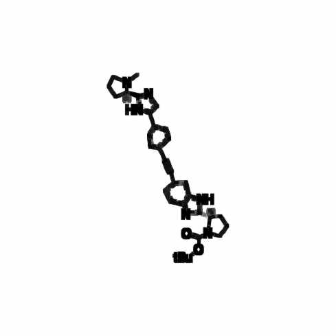 CN1CCC[C@@H]1c1ncc(-c2ccc(C#Cc3ccc4nc([C@@H]5CCCN5C(=O)OC(C)(C)C)[nH]c4c3)cc2)[nH]1